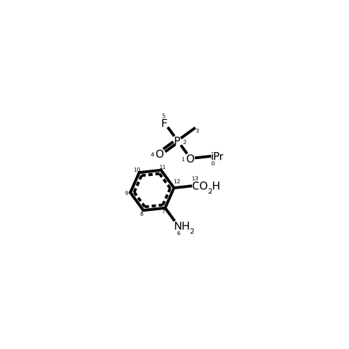 CC(C)OP(C)(=O)F.Nc1ccccc1C(=O)O